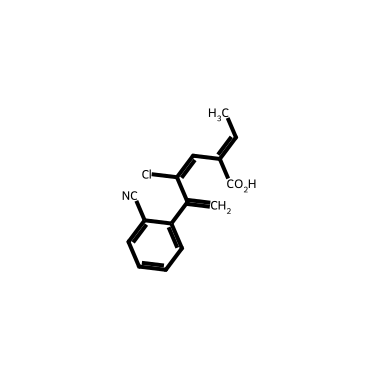 C=C(/C(Cl)=C\C(=C/C)C(=O)O)c1ccccc1C#N